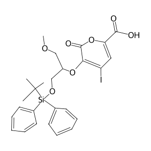 COCC(CO[Si](c1ccccc1)(c1ccccc1)C(C)(C)C)Oc1c(I)cc(C(=O)O)oc1=O